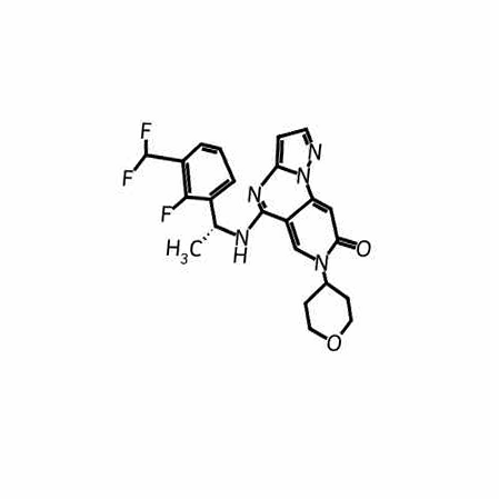 C[C@@H](Nc1nc2ccnn2c2cc(=O)n(C3CCOCC3)cc12)c1cccc(C(F)F)c1F